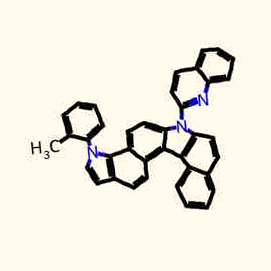 Cc1ccccc1-n1ccc2ccc3c(ccc4c3c3c5ccccc5ccc3n4-c3ccc4ccccc4n3)c21